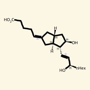 CCCCCC[C@@H](O)/C=C/[C@@H]1[C@H]2C/C(=C/CCCC(=O)O)C[C@@H]2C[C@H]1O